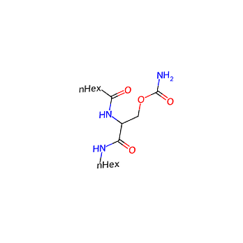 CCCCCCNC(=O)C(COC(N)=O)NC(=O)CCCCCC